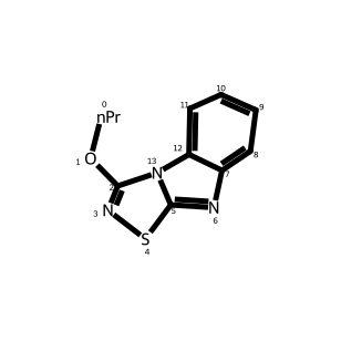 CCCOc1nsc2nc3ccccc3n12